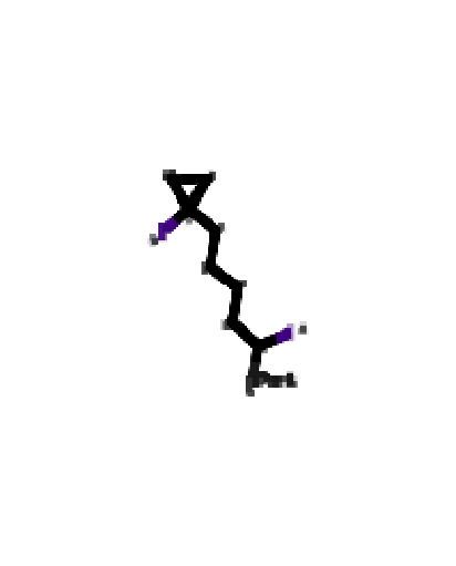 CCCCCC(I)CCCCC1(I)CC1